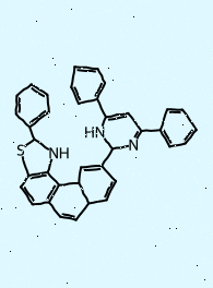 C1=CC2C=Cc3ccc4c(c3C2C=C1C1N=C(c2ccccc2)C=C(c2ccccc2)N1)NC(c1ccccc1)S4